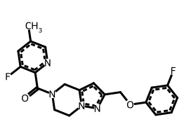 Cc1cnc(C(=O)N2CCn3nc(COc4cccc(F)c4)cc3C2)c(F)c1